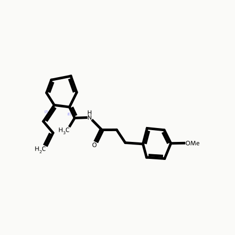 C=C/C=c1/cccc/c1=C(/C)NC(=O)CCc1ccc(OC)cc1